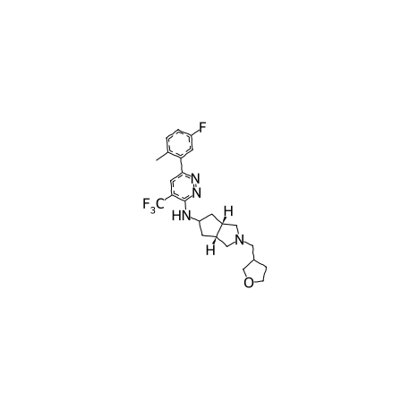 Cc1ccc(F)cc1-c1cc(C(F)(F)F)c(NC2C[C@@H]3CN(CC4CCOC4)C[C@@H]3C2)nn1